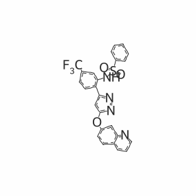 O=S(=O)(Nc1cc(C(F)(F)F)ccc1-c1cc(Oc2ccc3cccnc3c2)ncn1)c1ccccc1